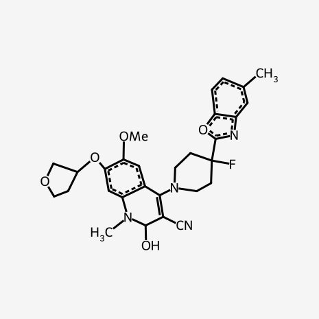 COc1cc2c(cc1OC1CCOC1)N(C)C(O)C(C#N)=C2N1CCC(F)(c2nc3cc(C)ccc3o2)CC1